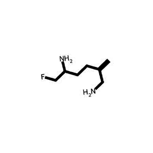 C=C(CN)CCC(N)CF